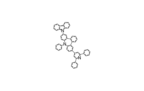 c1ccc(-c2cc(-c3ccc4c(c3)-c3ccccc3-c3cc(-n5c6ccccc6c6ccccc65)ccc3N4c3ccccc3)cc(-c3ccccc3)n2)cc1